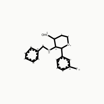 O=CC1CCOC(c2cccc(F)c2)C1OCc1ccccc1